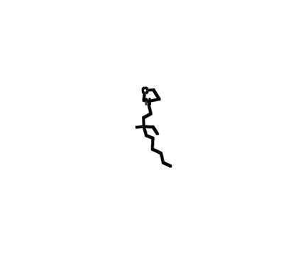 CCCCCCC(C)(CC)CCN1CCOC1